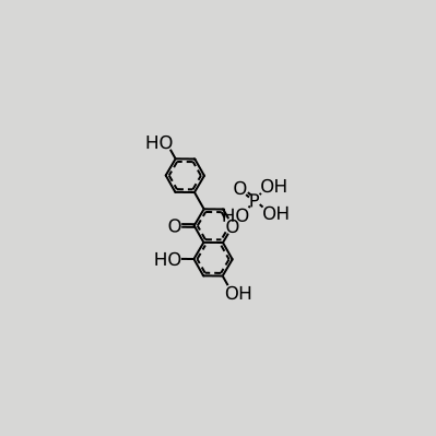 O=P(O)(O)O.O=c1c(-c2ccc(O)cc2)coc2cc(O)cc(O)c12